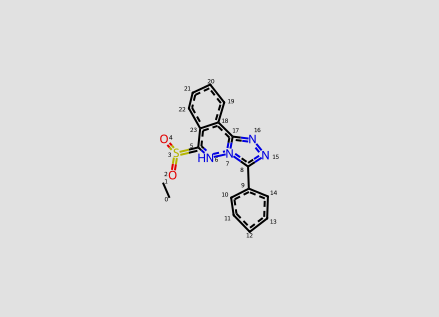 CC.O=S(=O)=c1[nH]n2c(-c3ccccc3)nnc2c2ccccc12